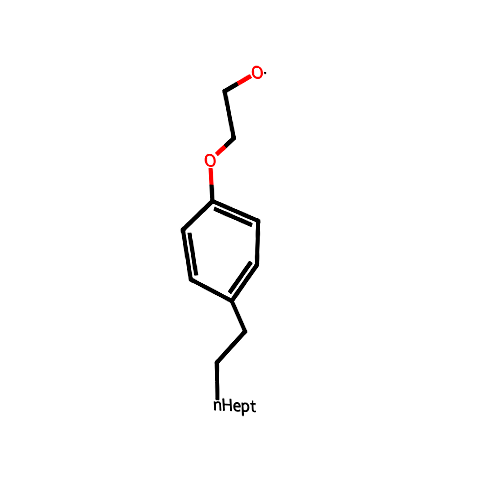 CCCCCCCCCc1ccc(OCC[O])cc1